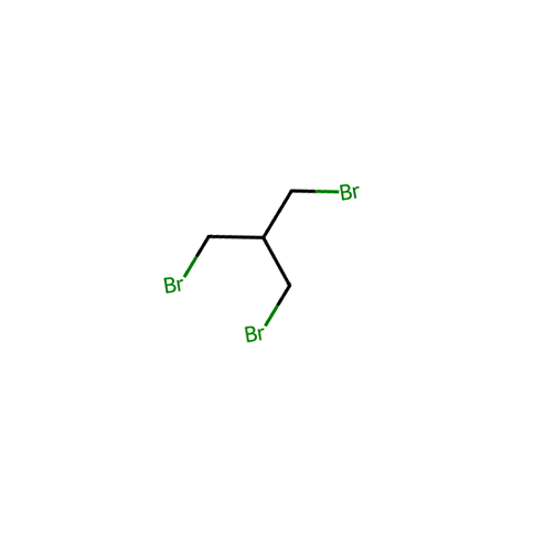 BrCC(CBr)CBr